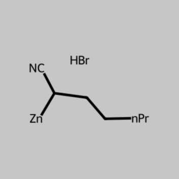 Br.CCCCC[CH]([Zn])C#N